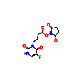 O=C(CCCn1c(=O)[nH]cc(F)c1=O)ON1C(=O)CCC1=O